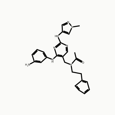 CC(=O)N(CCc1ccccc1)Cc1cnc(Nc2cnn(C)c2)nc1Nc1cccc(N)c1